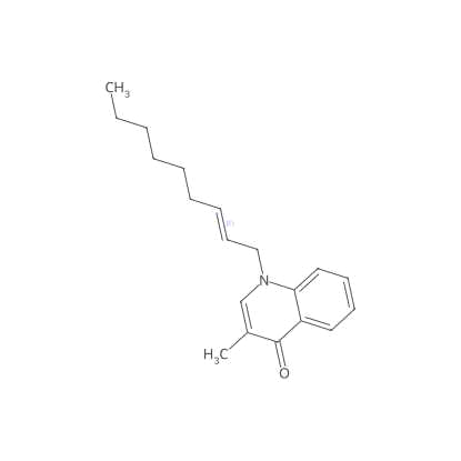 CCCCCC/C=C/Cn1cc(C)c(=O)c2ccccc21